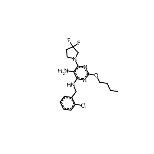 CCCCOc1nc(NCc2ccccc2Cl)c(N)c(N2CCC(F)(F)C2)n1